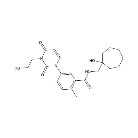 Cc1ccc(-n2ncc(=O)n(CCO)c2=O)cc1C(=O)NCC1(O)CCCCCC1